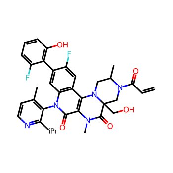 C=CC(=O)N1CC2(CO)C(=O)N(C)c3c(c4cc(F)c(-c5c(O)cccc5F)cc4n(-c4c(C)ccnc4C(C)C)c3=O)N2CC1C